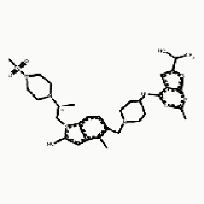 Cc1nc(NC2CCN(Cc3ccc4c(cc(C#N)n4C[C@H](C)N4CCN(S(C)(=O)=O)CC4)c3C)CC2)c2cc(C(O)C(F)(F)F)sc2n1